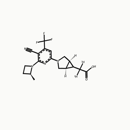 [2H]C([2H])(C(=O)O)C1[C@H]2CN(c3cc(C(F)(F)F)c(C#N)c(N4CC[C@@H]4C)n3)C[C@@H]12